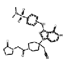 CN(C)S(=O)(=O)c1ccc(Nc2nn(C3(CC#N)CCN(C(=O)CN4CCCC4=O)CC3)c3cc[nH]c(=O)c23)cc1